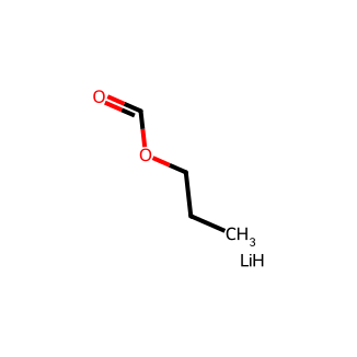 CCCOC=O.[LiH]